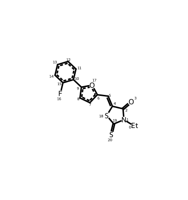 CCN1C(=O)/C(=C/c2ccc(-c3ccccc3F)o2)SC1=S